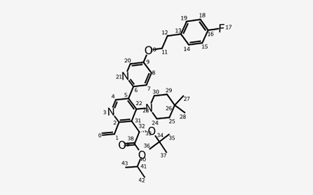 C=Cc1ncc(-c2ccc(OCCc3ccc(F)cc3)cn2)c(N2CCC(C)(C)CC2)c1[C@H](OC(C)(C)C)C(=O)OC(C)C